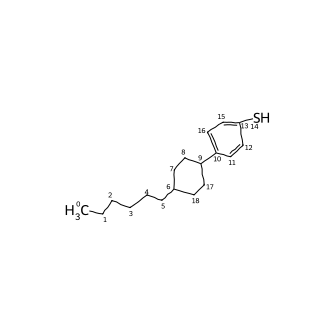 CCCCCCC1CCC(c2ccc(S)cc2)CC1